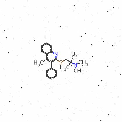 Cc1c(-c2ccccc2)c(SCC(C)(C)N(C)C)nc2ccccc12